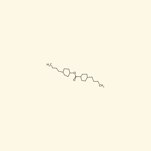 CCCCC1CCC(OC(=O)C2CCC(CCCC)CC2)CC1